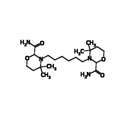 CC1(C)CCOC(C(N)=O)N1CCCCCCN1C(C(N)=O)OCCC1(C)C